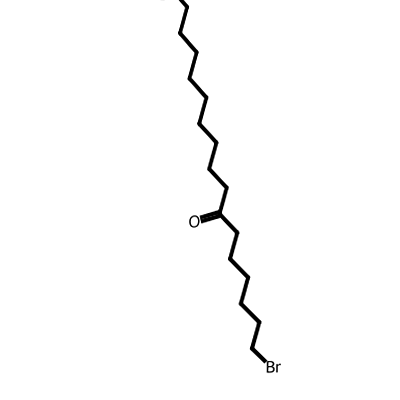 O=C(O)CCCCCCCCCC(=O)CCCCCCBr